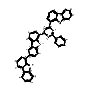 c1ccc(-c2nc(-c3cccc4c3sc3ccccc34)nc(-c3cccc4c3sc3ccc(-c5cccc6c5sc5ccccc56)cc34)n2)cc1